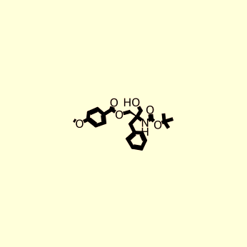 COc1ccc(C(=O)OC[C@](CO)(Cc2ccccc2)NC(=O)OC(C)(C)C)cc1